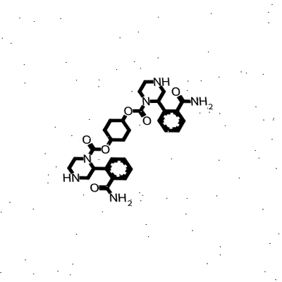 NC(=O)c1ccccc1C1CNCCN1C(=O)OC1CCC(OC(=O)N2CCNCC2c2ccccc2C(N)=O)CC1